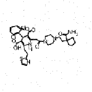 NC(=O)C1(CCN2CCN(C(=O)CC3=C(C(=O)O)C(c4c(Cl)cccc4Cl)C(C(=O)O)=C(CCc4nccs4)N3)CC2)CCCC1